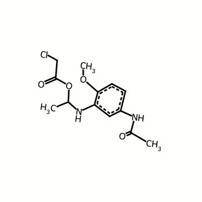 COc1ccc(NC(C)=O)cc1NC(C)OC(=O)CCl